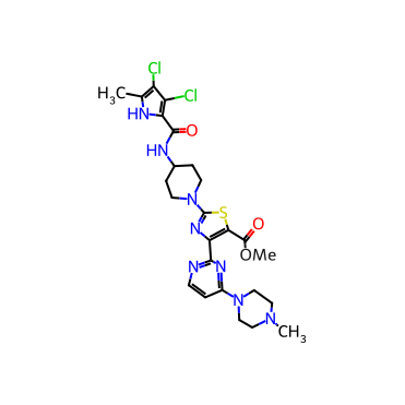 COC(=O)c1sc(N2CCC(NC(=O)c3[nH]c(C)c(Cl)c3Cl)CC2)nc1-c1nccc(N2CCN(C)CC2)n1